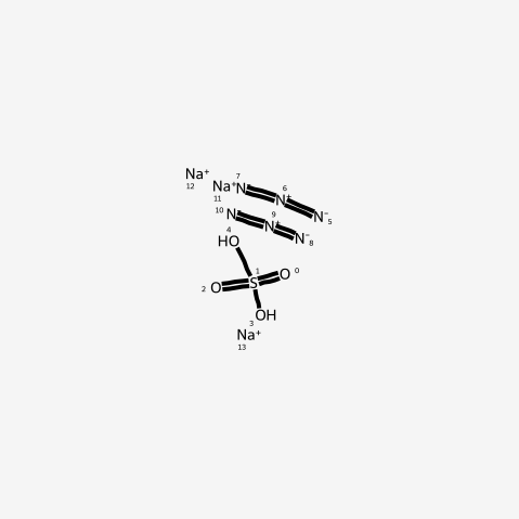 O=S(=O)(O)O.[N-]=[N+]=[N-].[N-]=[N+]=[N-].[Na+].[Na+].[Na+]